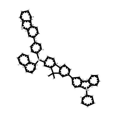 CC1(C)c2cc(-c3ccc4c(c3)c3ccccc3n4-c3ccccc3)ccc2-c2ccc(N(c3ccc(-c4ccc5c(c4)oc4ccccc45)cc3)c3cccc4ccccc34)cc21